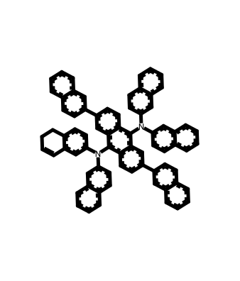 C1=Cc2cc(N(c3ccc4ccccc4c3)c3c4ccc(-c5ccc6ccccc6c5)cc4c(N(c4ccc5ccccc5c4)c4ccc5ccccc5c4)c4ccc(-c5ccc6ccccc6c5)cc34)ccc2CC1